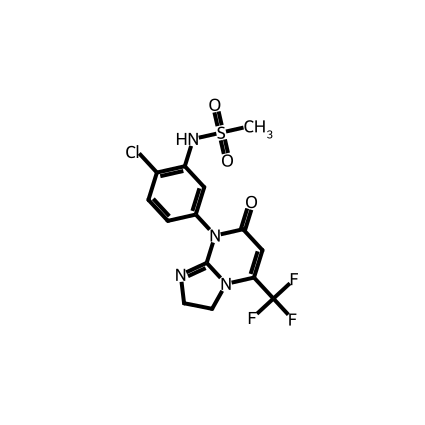 CS(=O)(=O)Nc1cc(N2C(=O)C=C(C(F)(F)F)N3CCN=C32)ccc1Cl